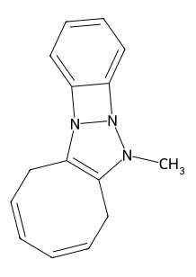 Cn1c2c(n3c4ccccc4n13)C/C=C\C=C/C2